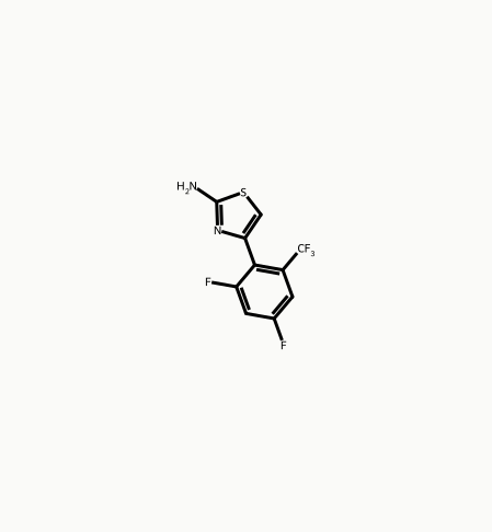 Nc1nc(-c2c(F)cc(F)cc2C(F)(F)F)cs1